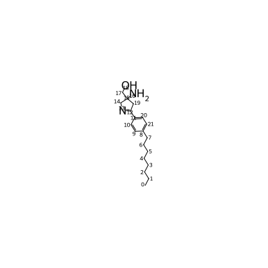 CCCCCCCCc1ccc(C2=NCC(N)(CO)C2)cc1